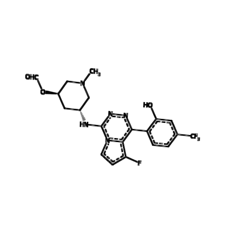 CN1C[C@H](Nc2nnc(-c3ccc(C(F)(F)F)cc3O)c3c(F)ccn23)C[C@@H](OC=O)C1